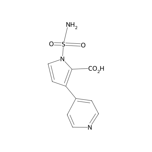 NS(=O)(=O)n1ccc(-c2ccncc2)c1C(=O)O